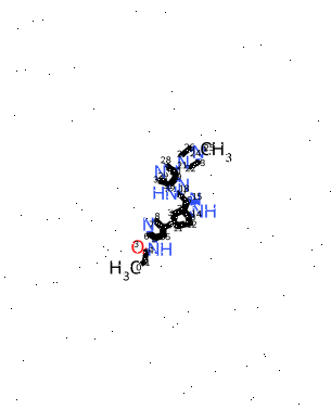 CCC(=O)Nc1cncc(-c2ccc3[nH]nc(-c4nc5c(N6CCN(C)CC6)cncc5[nH]4)c3c2)c1